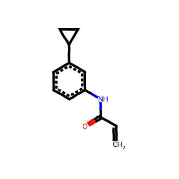 C=CC(=O)Nc1cccc(C2CC2)c1